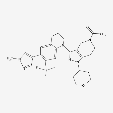 CC(=O)N1CCc2c(c(N3CCCc4cc(-c5cnn(C)c5)c(C(F)(F)F)cc43)nn2C2CCOCC2)C1